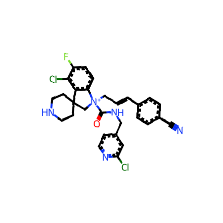 N#Cc1ccc(/C=C/C[N+]2(C(=O)NCc3ccnc(Cl)c3)CC3(CCNCC3)c3c2ccc(F)c3Cl)cc1